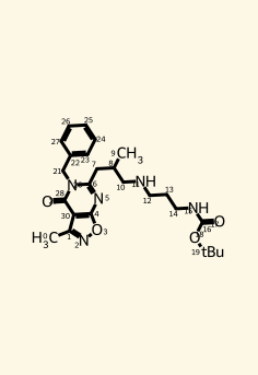 Cc1noc2nc(CC(C)CNCCCNC(=O)OC(C)(C)C)n(Cc3ccccc3)c(=O)c12